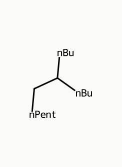 [CH2]CCCCCC(CCCC)CCCC